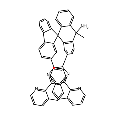 CC1(N)c2ccccc2C2(c3ccccc3-c3ccc(-c4ccc5ccc6cccnc6c5n4)cc32)c2cc(-c3ccc4ccc5cccnc5c4n3)ccc21